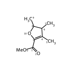 COC(=O)C1=C(C)C(C)C(C)O1